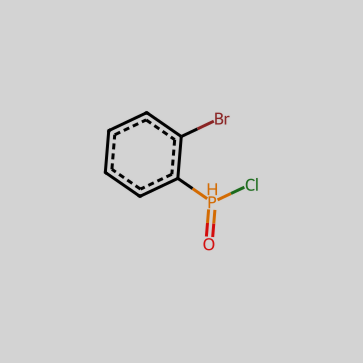 O=[PH](Cl)c1ccccc1Br